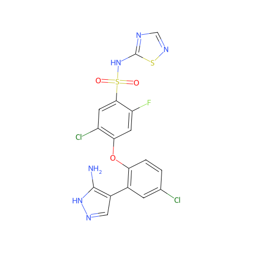 Nc1[nH]ncc1-c1cc(Cl)ccc1Oc1cc(F)c(S(=O)(=O)Nc2ncns2)cc1Cl